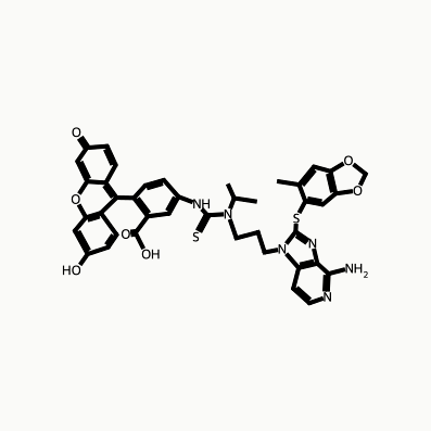 Cc1cc2c(cc1Sc1nc3c(N)nccc3n1CCCN(C(=S)Nc1ccc(-c3c4ccc(=O)cc-4oc4cc(O)ccc34)c(C(=O)O)c1)C(C)C)OCO2